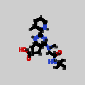 Cc1cccnc1-c1nc2c(c(N(C)CC(=O)NC(C)(C)C)n1)CCC2.O=CO